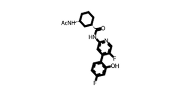 CC(=O)N[C@@H]1CCC[C@H](C(=O)Nc2cc(-c3ccc(F)cc3O)c(F)cn2)C1